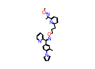 CO/N=C(\C)c1cccc(CCCO/N=C(/c2ccc(-n3cccc3)c(C)c2)c2ccccn2)n1